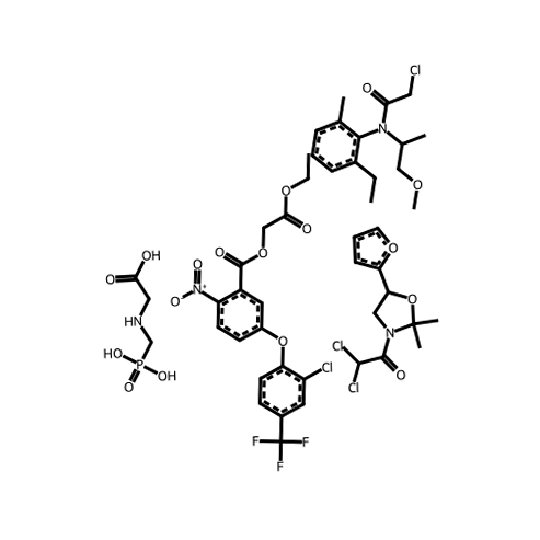 CC1(C)OC(c2ccco2)CN1C(=O)C(Cl)Cl.CCOC(=O)COC(=O)c1cc(Oc2ccc(C(F)(F)F)cc2Cl)ccc1[N+](=O)[O-].CCc1cccc(C)c1N(C(=O)CCl)C(C)COC.O=C(O)CNCP(=O)(O)O